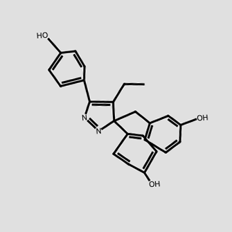 CCC1=C(c2ccc(O)cc2)N=NC1(Cc1cccc(O)c1)c1ccc(O)cc1